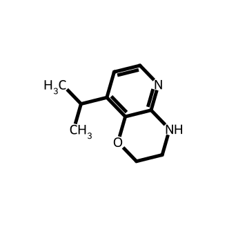 CC(C)c1ccnc2c1OCCN2